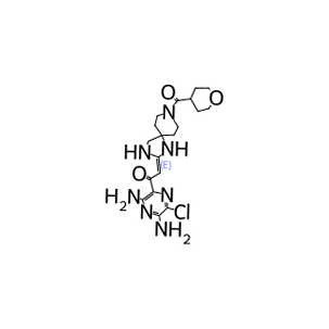 Nc1nc(N)c(C(=O)/C=C2\NCC3(CCN(C(=O)C4CCOCC4)CC3)N2)nc1Cl